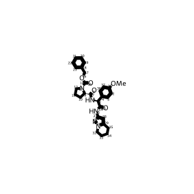 COc1ccc([C@H](NC(=O)[C@@H]2CCCN2C(=O)OCc2ccccc2)C(=O)Nc2cc3n(n2)CCCC3)cc1